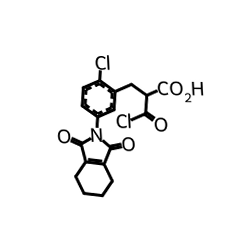 O=C(O)C(Cc1cc(N2C(=O)C3=C(CCCC3)C2=O)ccc1Cl)C(=O)Cl